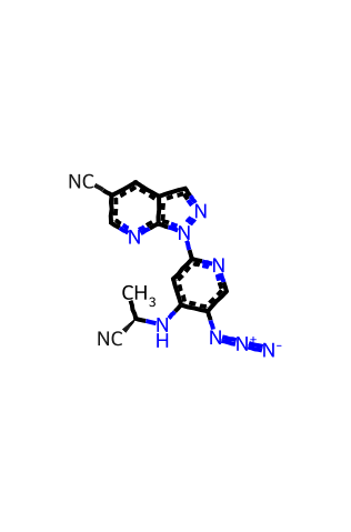 C[C@H](C#N)Nc1cc(-n2ncc3cc(C#N)cnc32)ncc1N=[N+]=[N-]